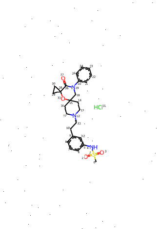 CS(=O)(=O)Nc1cccc(CCN2CCC3(CC2)CN(c2ccccc2)C(=O)C2(CC2)O3)c1.Cl